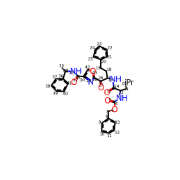 CC(C)CC(NC(=O)OCc1ccccc1)C(=O)NC(CCc1ccccc1)C(=O)c1nc(C(=O)N[C@H](C)c2ccccc2)co1